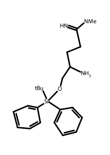 CNC(=N)CCC(N)CO[Si](c1ccccc1)(c1ccccc1)C(C)(C)C